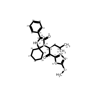 CSc1nnc(C(=O)[C@H](CC(C)C)N(C=O)C2(NC(=O)c3ccccc3)CCCCC2)o1